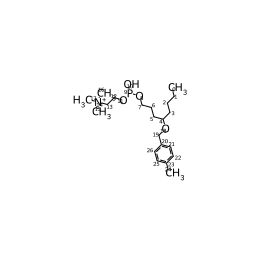 CCCCC(CCCOP(O)OCC[N+](C)(C)C)OCc1ccc(C)cc1